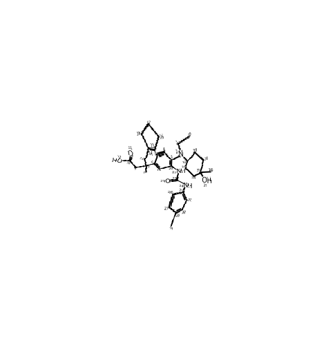 CCN(c1ccc(C(C)(CC(=O)O)CC2CCCC2)cc1NC(=O)Nc1ccc(C)cc1)C1CCC(C)(O)CC1